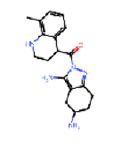 Cc1cccc2c1NCCC2C(=O)n1nc2c(c1N)CC(N)CC2